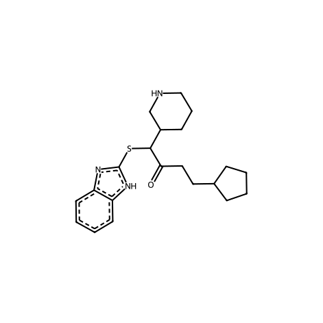 O=C(CCC1CCCC1)C(Sc1nc2ccccc2[nH]1)C1CCCNC1